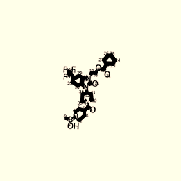 CB(O)N1CCC(C(=O)N2CCC(n3c(=O)n(CCOC(=O)c4ccccc4)c4cc(C(F)(F)F)ccc43)CC2)CC1